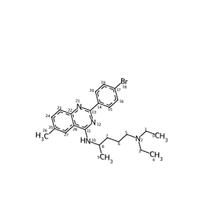 CCN(CC)CCCC(C)Nc1nc(-c2ccc(Br)cc2)nc2ccc(C)cc12